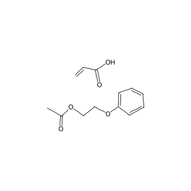 C=CC(=O)O.CC(=O)OCCOc1ccccc1